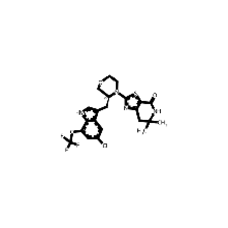 CC1(C)Cc2nc(N3CCOC[C@@H]3Cc3c[nH]c4c(OC(F)(F)F)cc(Cl)cc34)sc2C(=O)N1